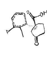 Cc1c(F)cccc1[C@]1(C(=O)O)CCC(=O)C1